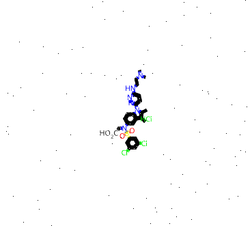 Cc1c(C)n(-c2ccc(NCCN(C)C)nn2)c2ccc(N(CC(=O)O)S(=O)(=O)c3cc(Cl)cc(Cl)c3)cc12.Cl